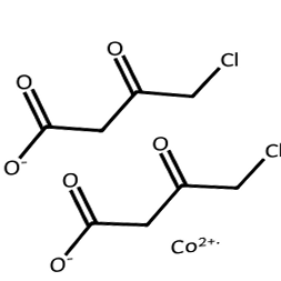 O=C([O-])CC(=O)CCl.O=C([O-])CC(=O)CCl.[Co+2]